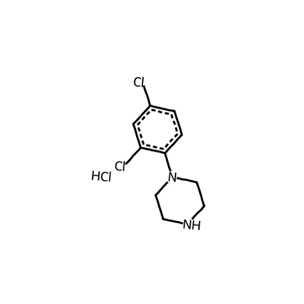 Cl.Clc1ccc(N2CCNCC2)c(Cl)c1